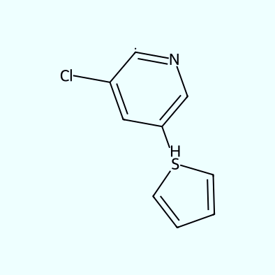 Clc1[c]ncc([SH]2C=CC=C2)c1